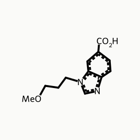 COCCCn1cnc2ccc(C(=O)O)cc21